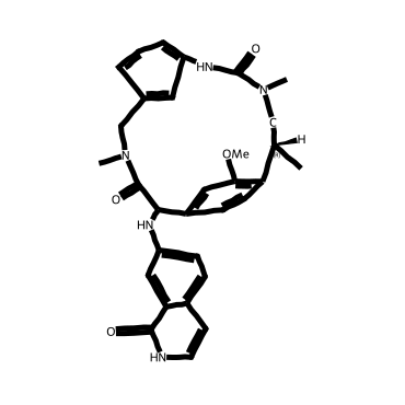 COc1cc2ccc1[C@@H](C)CN(C)C(=O)Nc1cccc(c1)CN(C)C(=O)C2Nc1ccc2cc[nH]c(=O)c2c1